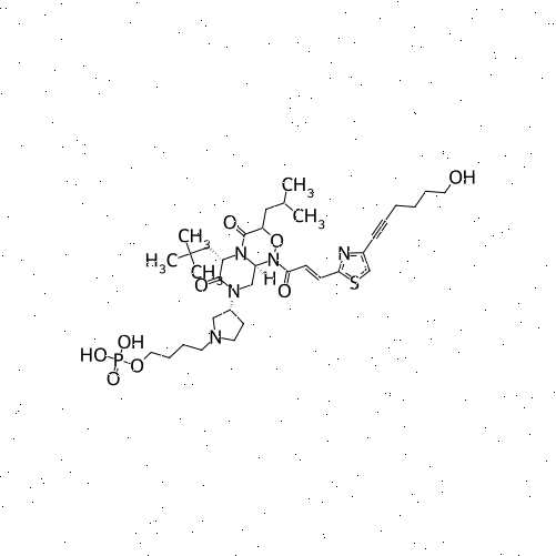 CC(C)CC1ON(C(=O)/C=C/c2nc(C#CCCCCO)cs2)[C@H]2CN([C@@H]3CCN(CCCCOP(=O)(O)O)C3)C(=O)[C@H](CC(C)(C)C)N2C1=O